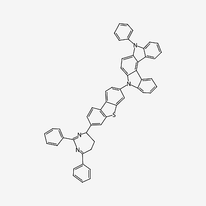 c1ccc(C2=NC(c3ccccc3)=NC(c3ccc4c(c3)sc3cc(-n5c6ccccc6c6c7c8ccccc8n(-c8ccccc8)c7ccc65)ccc34)CC2)cc1